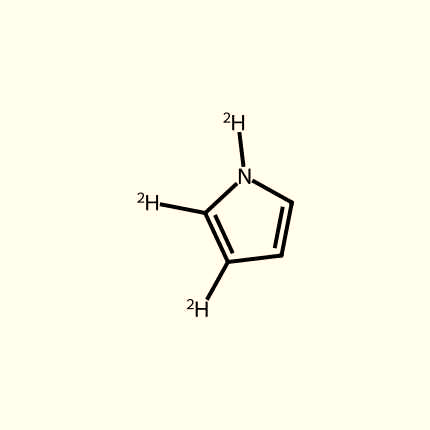 [2H]c1ccn([2H])c1[2H]